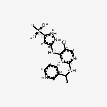 CC(Nc1ncc(Cl)c(Nc2cc(S(C)(=O)=O)[nH]n2)n1)c1cccnc1